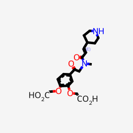 CN(CC(=O)c1ccc(OCC(=O)O)c(OCC(=O)O)c1)C(=O)/C=C/C1CCNCC1